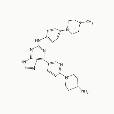 CN1CCN(c2ccc(Nc3nc(-c4ccc(N5CCC(N)CC5)nc4)c4nc[nH]c4n3)cc2)CC1